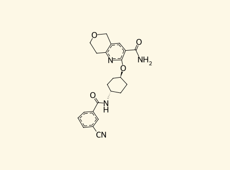 N#Cc1cccc(C(=O)N[C@H]2CC[C@H](Oc3nc4c(cc3C(N)=O)COCC4)CC2)c1